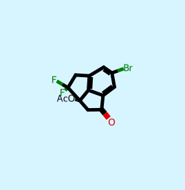 CC(=O)OC12CC(=O)c3cc(Br)cc(c31)CC2(F)F